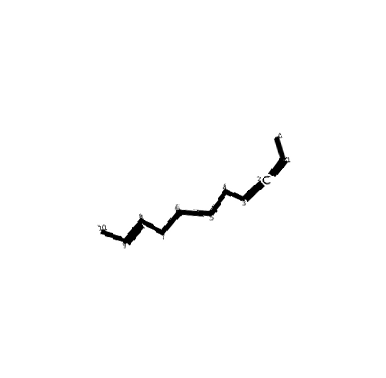 CC=C=CCCCCC=CC